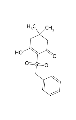 CC1(C)CC(=O)C(S(=O)(=O)Cc2ccccc2)=C(O)C1